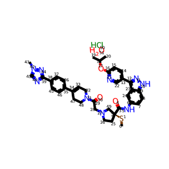 CS[C@@]1(C(=O)Nc2ccc3[nH]nc(-c4ccc(OC(C)C)nc4)c3c2)CCN(CC(=O)N2CC=C(c3ccc(-c4ncn(C)n4)cc3)CC2)C1.Cl.O